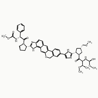 COC[C@H]1C[C@@H](c2ncc(-c3ccc4c(c3)COc3cc5c(ccc6nc([C@@H]7CCCN7C(=O)[C@H](NC(=O)OC)c7ccccc7)[nH]c65)cc3-4)[nH]2)N(C(=O)[C@@H](NC(O)OC)[C@@H](C)OC)C1